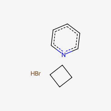 Br.C1CCC1.c1ccncc1